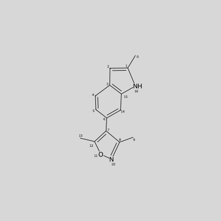 Cc1cc2ccc(-c3c(C)noc3C)cc2[nH]1